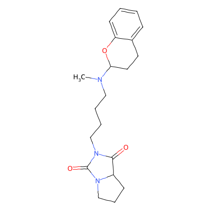 CN(CCCCN1C(=O)C2CCCN2C1=O)C1CCc2ccccc2O1